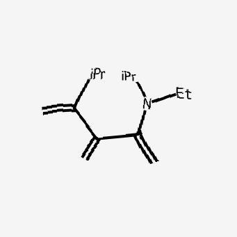 C=C(C(=C)C(C)C)C(=C)N(CC)C(C)C